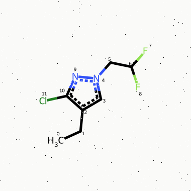 CCc1cn(CC(F)F)nc1Cl